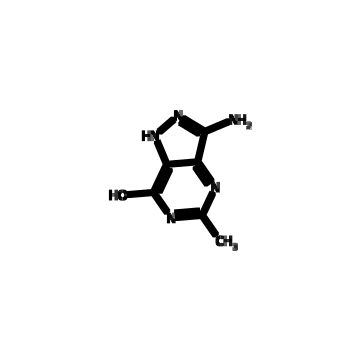 Cc1nc(O)c2[nH]nc(N)c2n1